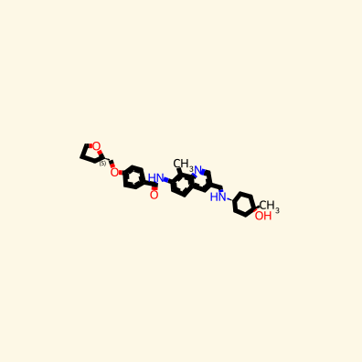 Cc1c(NC(=O)c2ccc(OC[C@@H]3CCCO3)cc2)ccc2cc(CN[C@H]3CC[C@@](C)(O)CC3)cnc12